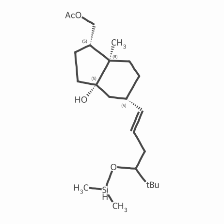 CC(=O)OC[C@H]1CC[C@]2(O)C[C@@H](C=CCC(O[SiH](C)C)C(C)(C)C)CC[C@]12C